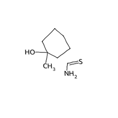 CC1(O)CCCCC1.NC=S